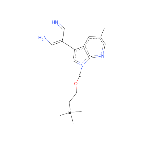 Cc1cnc2c(c1)c(/C(C=N)=C/N)cn2COCC[Si](C)(C)C